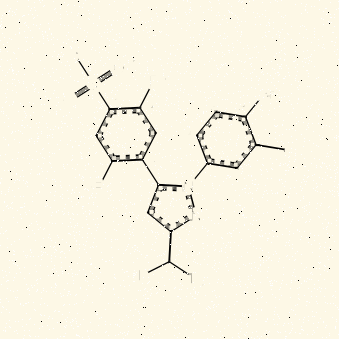 Cc1cc(-n2nc(C(F)F)cc2-c2cc(F)c(S(C)(=O)=O)cc2F)ccc1Br